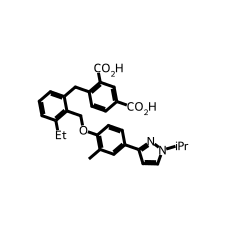 CCc1cccc(Cc2ccc(C(=O)O)cc2C(=O)O)c1COc1ccc(-c2ccn(C(C)C)n2)cc1C